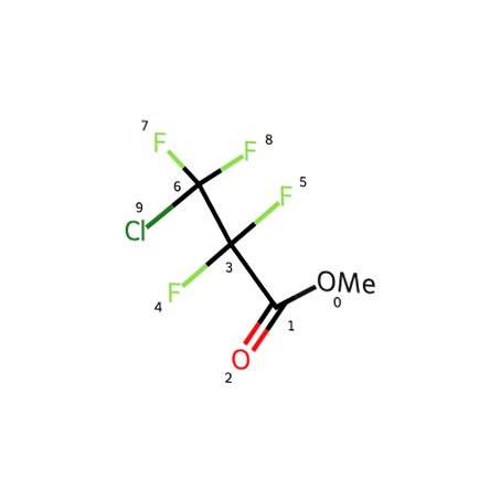 COC(=O)C(F)(F)C(F)(F)Cl